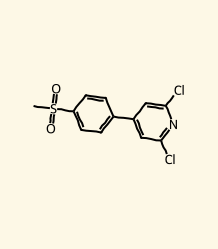 CS(=O)(=O)c1ccc(-c2cc(Cl)nc(Cl)c2)cc1